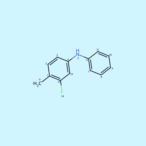 [CH2]c1ccc(Nc2ccccc2)cc1F